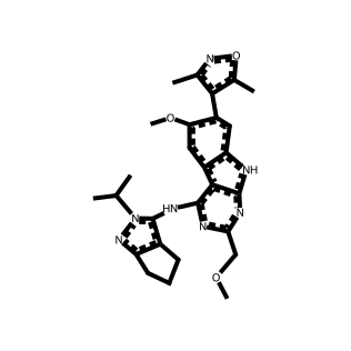 COCc1nc(Nc2c3c(nn2C(C)C)CCC3)c2c(n1)[nH]c1cc(-c3c(C)noc3C)c(OC)cc12